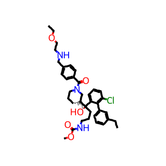 CCOCCNCc1ccc(C(=O)N2CCC[C@@H]([C@@](O)(CCCNC(=O)OC)c3cccc(Cl)c3-c3cccc(CC)c3)C2)cc1